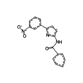 O=C(Nc1nc(-c2cccc([N+](=O)[O-])c2)cs1)c1ccccc1